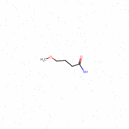 COCCCC([NH])=O